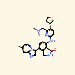 Cc1ccn2c(-c3ccc(Nc4ccc([C@@H]5CCOC5)c(CN(C)C)n4)c4c3CNC4=O)cnc2c1